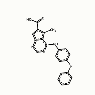 Cc1c(C(=O)O)cn2ncnc(Nc3ccc(Oc4ccccc4)cc3)c12